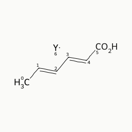 C/C=C/C=C/C(=O)O.[Y]